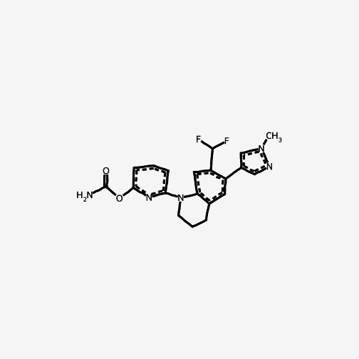 Cn1cc(-c2cc3c(cc2C(F)F)N(c2cccc(OC(N)=O)n2)CCC3)cn1